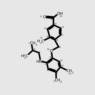 Cc1cc(NCC(C)C)c(OCc2ccc(C(=O)O)cc2C)cc1C